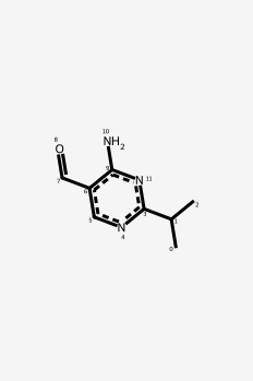 CC(C)c1ncc(C=O)c(N)n1